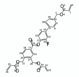 C=CC(=O)OCc1ccc(-c2ccc(OC(=O)c3ccc(COC(=O)C=C)c(COC(=O)C=C)c3)c(F)c2)cc1